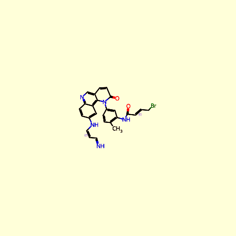 Cc1ccc(-n2c(=O)ccc3cnc4ccc(N/C=C\C=N)cc4c32)cc1NC(=O)/C=C/CBr